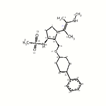 CN/C(C)=C(\C)N1CC[C@H](NS(C)(=O)=O)[C@@H]1COC1CCC(c2ccccc2)CC1